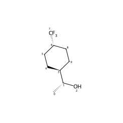 C[C@@H](O)[C@H]1CC[C@H](C(F)(F)F)CC1